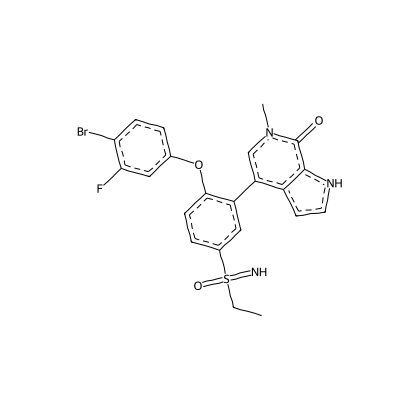 CCS(=N)(=O)c1ccc(Oc2ccc(Br)c(F)c2)c(-c2cn(C)c(=O)c3[nH]ccc23)c1